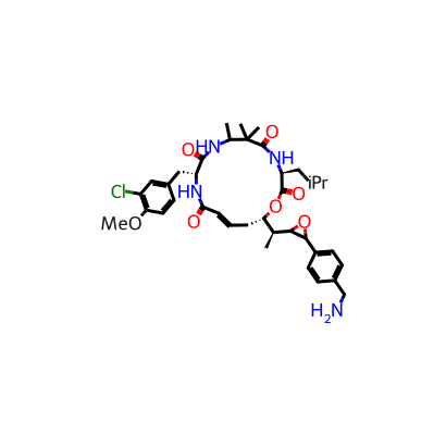 COc1ccc(C[C@H]2NC(=O)/C=C/C[C@@H]([C@H](C)C3OC3c3ccc(CN)cc3)OC(=O)[C@H](CC(C)C)NC(=O)C(C)(C)C(C)NC2=O)cc1Cl